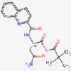 CC(C)(C)C(=O)OC(=O)[C@H](CC(N)=O)NC(=O)c1ccc2ccccc2n1